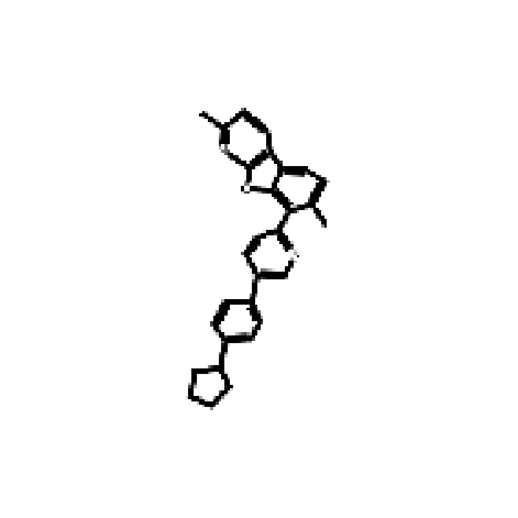 Cc1ccc2c(n1)oc1c(-c3ccc(-c4ccc(C5CCCC5)cc4)cn3)c(C)ccc12